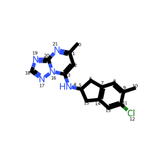 Cc1cc(NC2Cc3cc(C)c(Cl)cc3C2)n2ncnc2n1